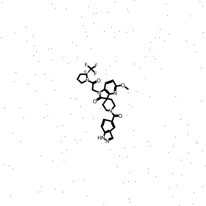 COc1ccc2c(n1)C1(CCN(C(=O)c3ccc4[nH]ncc4c3)CC1)C(=O)N2CC(=O)N1CCC[C@H]1C(F)(F)F